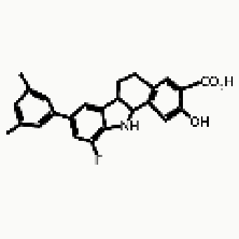 Cc1cc(C)cc(-c2cc(F)c3c(c2)C2CCc4cc(C(=O)O)c(O)cc4C2N3)c1